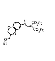 CCOCC1COc2ccc(NC=C(C(=O)OCC)C(=O)OCC)cc2O1